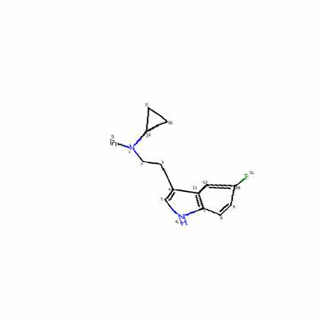 CC(C)N(CCc1c[nH]c2ccc(F)cc12)C1CC1